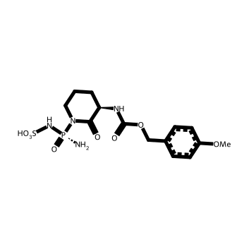 COc1ccc(COC(=O)N[C@@H]2CCCN([P@@](N)(=O)NS(=O)(=O)O)C2=O)cc1